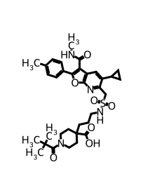 CNC(=O)c1c(-c2ccc(C)cc2)oc2nc(CS(=O)(=O)NCCCC3(C(=O)O)CCN(C(=O)C(C)(C)C)CC3)c(C3CC3)cc12